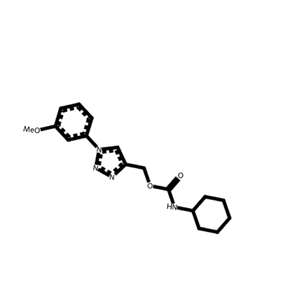 COc1cccc(-n2cc(COC(=O)NC3CCCCC3)nn2)c1